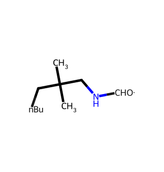 CCCCCC(C)(C)CN[C]=O